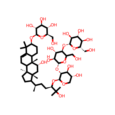 C[C@H](CC[C@@H](O[C@@H]1OC[C@@H](O)[C@H](O)[C@H]1O[C@H]1OC(CO)[C@H](O[C@H]2O[C@@H](CO)[C@H](O)[C@@H](O)[C@@H]2O)[C@@H](O)[C@@H]1O)C(C)(C)O)C1CC[C@@]2(C)C3CC=C4C(CC[C@H](O[C@@H]5O[C@H](CO)[C@@H](O)[C@H](O)[C@H]5O)C4(C)C)[C@]3(C)[C@H](O)C[C@]12C